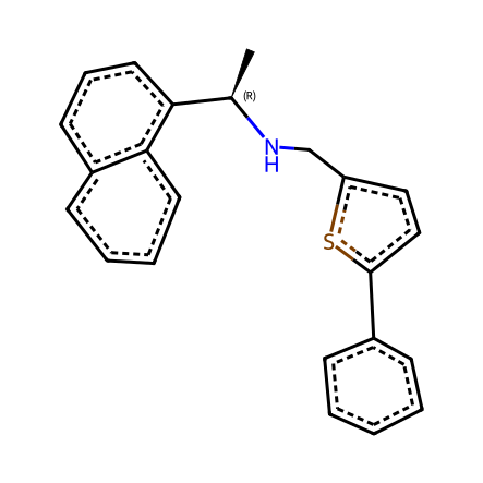 C[C@@H](NCc1ccc(-c2ccccc2)s1)c1cccc2ccccc12